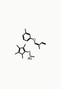 C=CC(C)=COc1cccc(C)c1.CC1=C(C)C(C)[C]([Ti][SiH](C)C)=C1C